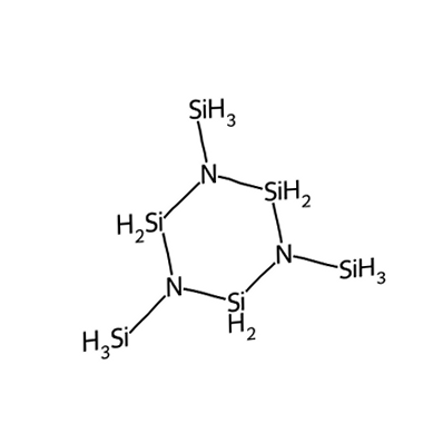 [SiH3]N1[SiH2]N([SiH3])[SiH2]N([SiH3])[SiH2]1